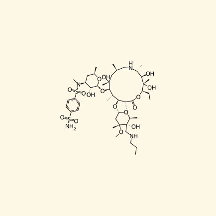 CCCNC[C@]1(O)[C@H](C)O[C@@H](O[C@H]2[C@H](C)[C@@H](O[C@@H]3O[C@H](C)C[C@H](N(C)S(=O)(=O)c4ccc(S(N)(=O)=O)cc4)[C@H]3O)[C@](C)(O)C[C@@H](C)CN[C@H](C)[C@@H](O)[C@](C)(O)[C@@H](CC)OC(=O)[C@@H]2C)C[C@@]1(C)OC